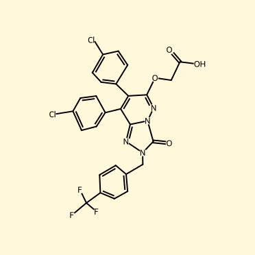 O=C(O)COc1nn2c(=O)n(Cc3ccc(C(F)(F)F)cc3)nc2c(-c2ccc(Cl)cc2)c1-c1ccc(Cl)cc1